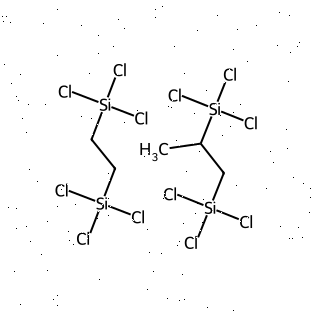 CC(C[Si](Cl)(Cl)Cl)[Si](Cl)(Cl)Cl.Cl[Si](Cl)(Cl)CC[Si](Cl)(Cl)Cl